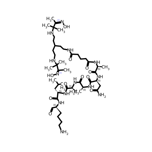 C/C(=N/O)C(C)(C)NCCC(CCNC(=O)CCCC(=O)N[C@@H](C)C(=O)N[C@@H](CC(N)=O)C(=O)N[C@@H](C)C(=O)N[C@@H](C)C(=O)N[C@@H](CC(C)C)C(=O)N[C@H](C=O)CCCCN)CCNC(C)(C)/C(C)=N\O